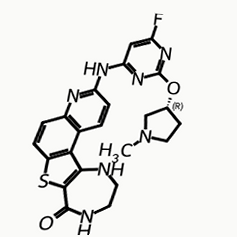 CN1CC[C@@H](Oc2nc(F)cc(Nc3ccc4c(ccc5sc6c(c54)NCCNC6=O)n3)n2)C1